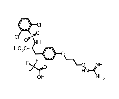 N=C(N)NOCCCOc1ccc(C[C@H](NS(=O)(=O)c2c(Cl)cccc2Cl)C(=O)O)cc1.O=C(O)C(F)(F)F